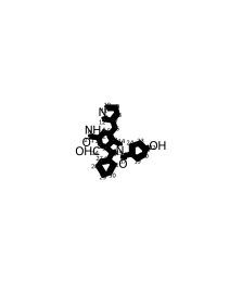 NC(=O)C1CC(Cc2cccnc2)=C2CN(C(=O)c3ccc(O)cc3)C(c3ccccc3)C2C1C=O